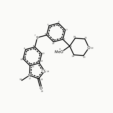 COC1(c2cccc(Sc3ccc4c(c3)sc(=O)n4C)c2)CCOCC1